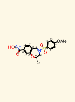 COc1ccc(S(=O)(=O)N2Cc3ccc(C(=O)NO)cc3O[C@@H](C)C2)cc1